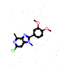 COc1ccc(-c2nc3c(C)nc(Cl)cc3n2C)cc1OC